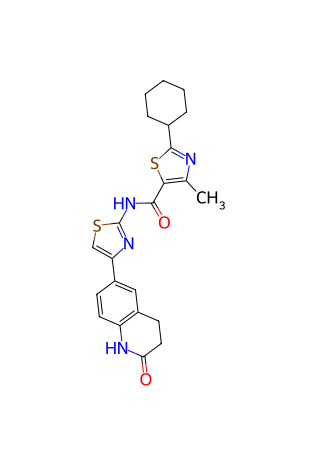 Cc1nc(C2CCCCC2)sc1C(=O)Nc1nc(-c2ccc3c(c2)CCC(=O)N3)cs1